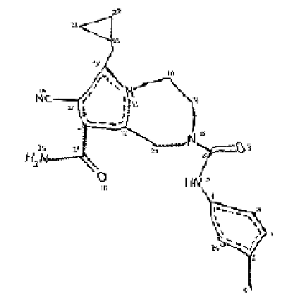 Cc1ccc(NC(=O)N2CCn3c(c(C(N)=O)c(C#N)c3C3CC3)C2)s1